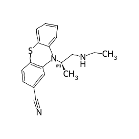 CCNC[C@@H](C)N1c2ccccc2Sc2ccc(C#N)cc21